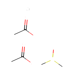 CC(=O)[O-].CC(=O)[O-].C[S+](C)[O-].[Zn+2]